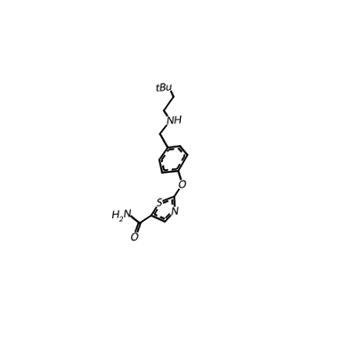 CC(C)(C)CCNCc1ccc(Oc2ncc(C(N)=O)s2)cc1